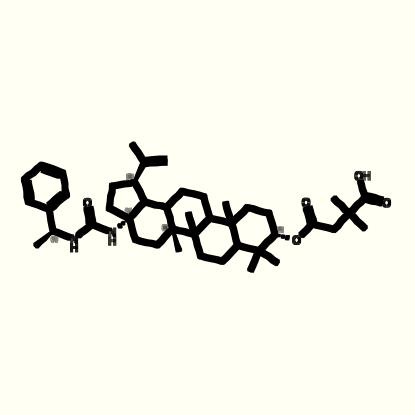 C=C(C)[C@@H]1CC[C@]2(NC(=O)N[C@@H](C)c3ccccc3)CC[C@]3(C)C(CCC4C5(C)CC[C@H](OC(=O)CC(C)(C)C(=O)O)C(C)(C)C5CCC43C)C12